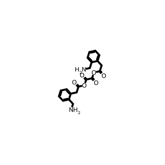 NCc1ccccc1CC(=O)OC(=O)C(=O)OC(=O)Cc1ccccc1CN